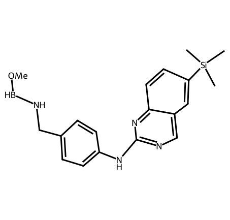 COBNCc1ccc(Nc2ncc3cc([Si](C)(C)C)ccc3n2)cc1